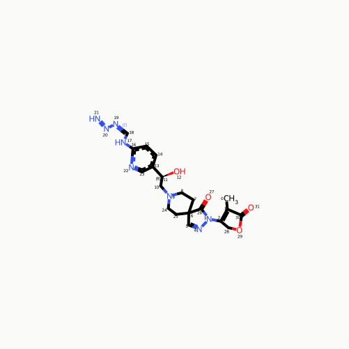 CC1=C(N2N=CC3(CCN(C[C@H](O)c4ccc(N/C=N\N=N)nc4)CC3)C2=O)COC1=O